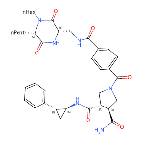 CCCCCCN1C(=O)[C@H](CNC(=O)c2ccc(C(=O)N3C[C@@H](C(N)=O)[C@H](C(=O)N[C@H]4C[C@@H]4c4ccccc4)C3)cc2)NC(=O)[C@@H]1CCCCC